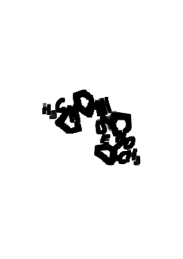 Cc1cccc(F)c1C(=O)N1CCC[C@H](C(=O)Nc2cccc(N3CCCC3C)c2)C1